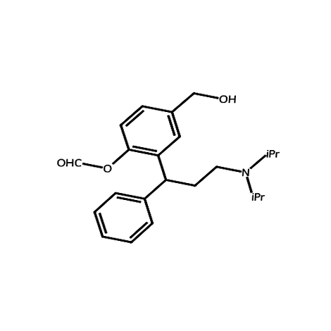 CC(C)N(CCC(c1ccccc1)c1cc(CO)ccc1OC=O)C(C)C